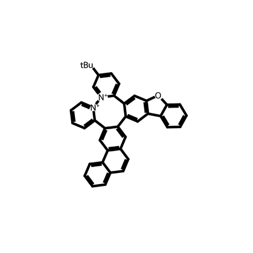 CC(C)(C)c1ccc2[n+](c1)-[n+]1ccccc1-c1cc3c(ccc4ccccc43)cc1-c1cc3c(cc1-2)oc1ccccc13